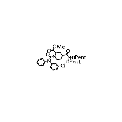 CCCCCN(CCCCC)C(=O)C1CCN(C(=O)N(c2ccccc2)c2cccc(Cl)c2)C(C(=O)OC)C1